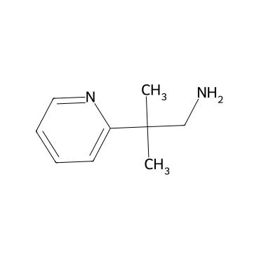 CC(C)(CN)c1ccccn1